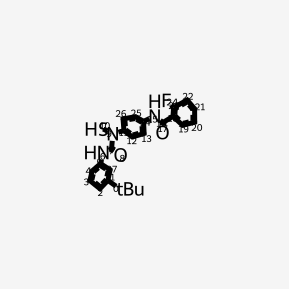 CC(C)(C)c1cccc(NC(=O)N(S)c2ccc(NC(=O)c3ccccc3F)cc2)c1